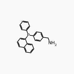 NCc1ccc(P(c2cc[c]cc2)c2cccc3ccccc23)cc1